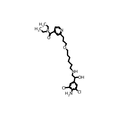 CCN(CC)C(=O)c1ccnc(CCCOCCCCCCNCC(O)c2cc(Cl)c(N)c(Cl)c2)c1